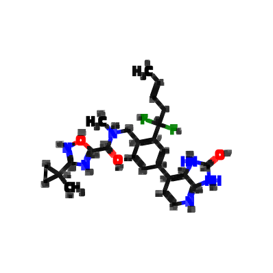 C/C=C/CC(F)(F)c1cc(-c2ccnc3[nH]c(=O)[nH]c23)ccc1CN(C)C(=O)c1nc(C2(C)CC2)no1